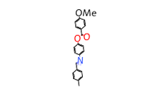 COc1ccc(C(=O)Oc2ccc(/N=C/c3ccc(C)cc3)cc2)cc1